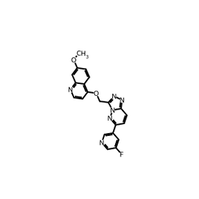 COc1ccc2c(OCc3nnc4ccc(-c5cncc(F)c5)nn34)ccnc2c1